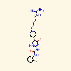 Cc1ccccc1NC(=O)Nc1nc(=O)c(C2CCN(CCCCCNC(=N)N)CC2)c[nH]1